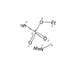 CCCS(=O)(=O)OCC.CNC